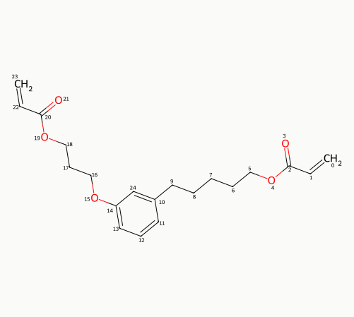 C=CC(=O)OCCCCCc1cccc(OCCCOC(=O)C=C)c1